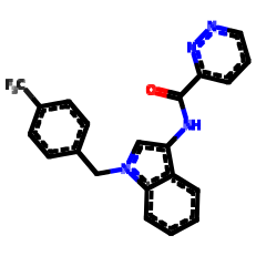 O=C(Nc1cn(Cc2ccc(C(F)(F)F)cc2)c2ccccc12)c1cccnn1